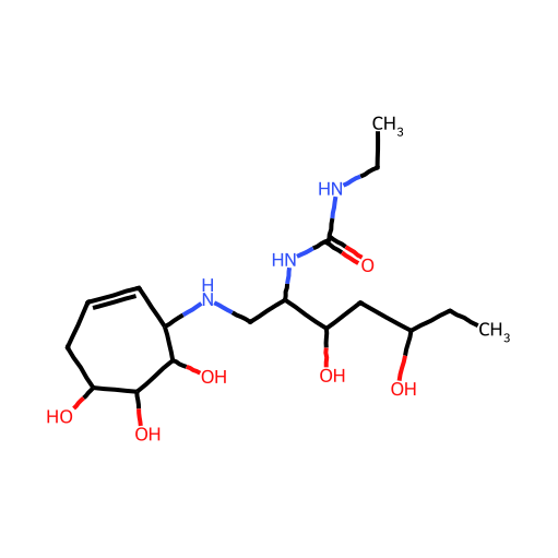 CCNC(=O)NC(CNC1C=CCC(O)C(O)C1O)C(O)CC(O)CC